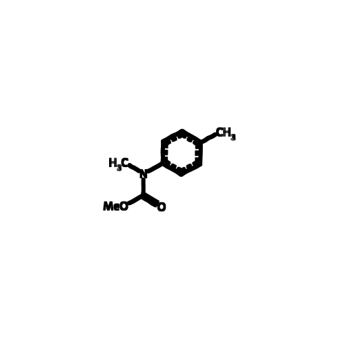 COC(=O)N(C)c1ccc(C)cc1